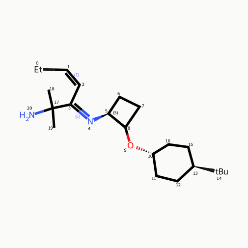 CC/C=C\C(=N/[C@H]1CCC1O[C@H]1CC[C@H](C(C)(C)C)CC1)C(C)(C)N